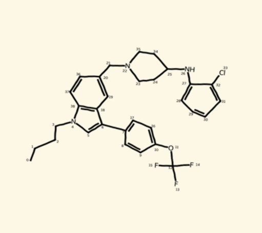 CCCCn1cc(-c2ccc(OC(F)(F)F)cc2)c2cc(CN3CCC(Nc4ccccc4Cl)CC3)ccc21